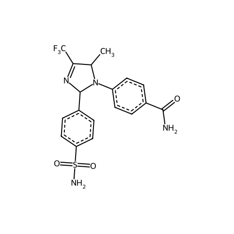 CC1C(C(F)(F)F)=NC(c2ccc(S(N)(=O)=O)cc2)N1c1ccc(C(N)=O)cc1